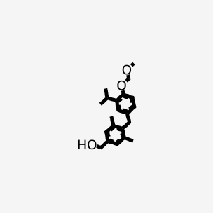 COCOc1ccc(Cc2c(C)cc(CO)cc2C)cc1C(C)C